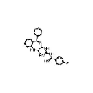 N=C(NC(=N)c1ccc(F)cc1)NC1N=C(c2ccccc2)c2ccccc2NC1=O